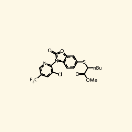 CCCCC(Sc1ccc2c(c1)oc(=O)n2-c1ncc(C(F)(F)F)cc1Cl)C(=O)OC